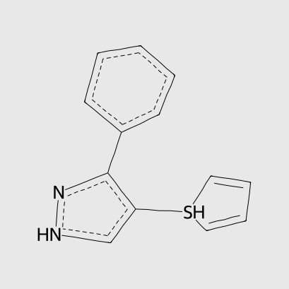 C1=C[SH](c2c[nH]nc2-c2ccccc2)C=C1